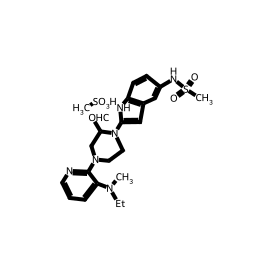 CCN(C)c1cccnc1N1CCN(c2cc3cc(NS(C)(=O)=O)ccc3[nH]2)C(C=O)C1.CS(=O)(=O)O